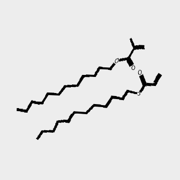 C=C(C)C(=O)OCCCCCCCCCCCC.C=CC(=O)OCCCCCCCCCCCC